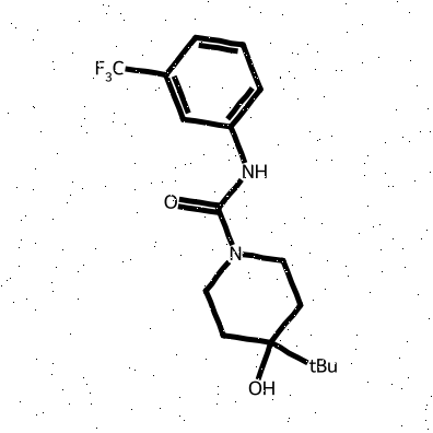 CC(C)(C)C1(O)CCN(C(=O)Nc2cccc(C(F)(F)F)c2)CC1